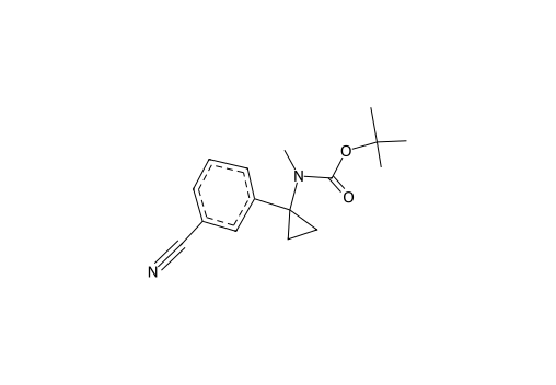 CN(C(=O)OC(C)(C)C)C1(c2cccc(C#N)c2)CC1